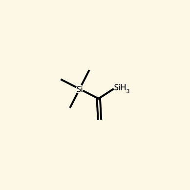 C=C([SiH3])[Si](C)(C)C